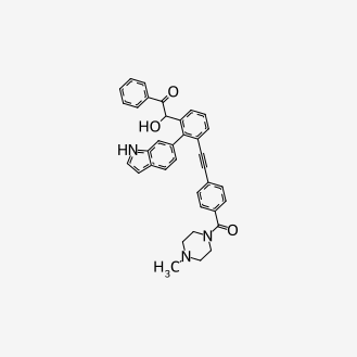 CN1CCN(C(=O)c2ccc(C#Cc3cccc(C(O)C(=O)c4ccccc4)c3-c3ccc4cc[nH]c4c3)cc2)CC1